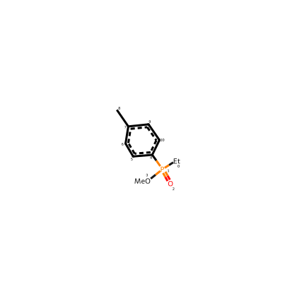 CCP(=O)(OC)c1ccc(C)cc1